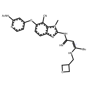 CC(=O)Nc1cc(Oc2ccc3nc(NC(=N)/C=C(\NCC4COC4)C(C)(C)C)n(C)c3c2C#N)ccn1